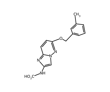 Cc1cccc(COc2ccc3nc(NC(=O)O)cn3n2)c1